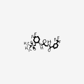 CC(C)S(=O)(=O)C[C@H]1CC(F)(F)CC[C@@H]1NC(=O)CNC(=O)c1cccc(C(F)(F)F)c1